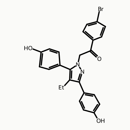 CCc1c(-c2ccc(O)cc2)nn(CC(=O)c2ccc(Br)cc2)c1-c1ccc(O)cc1